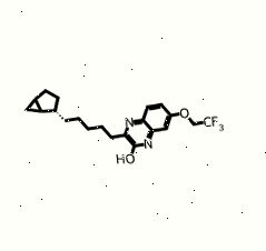 Oc1nc2cc(OCC(F)(F)F)ccc2nc1CCCCC[C@H]1CCC2CC21